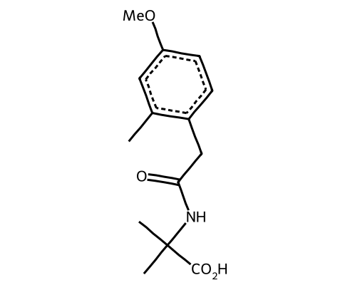 COc1ccc(CC(=O)NC(C)(C)C(=O)O)c(C)c1